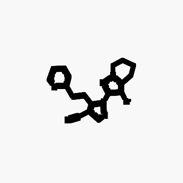 N#Cc1cnn(-c2nn3c(c2Br)CCCC3)c1/C=C/c1ccccn1